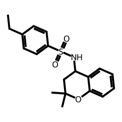 CCc1ccc(S(=O)(=O)NC2CC(C)(C)Oc3ccccc32)cc1